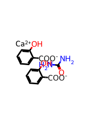 NC(N)=O.O=C([O-])c1ccccc1O.O=C([O-])c1ccccc1O.[Ca+2]